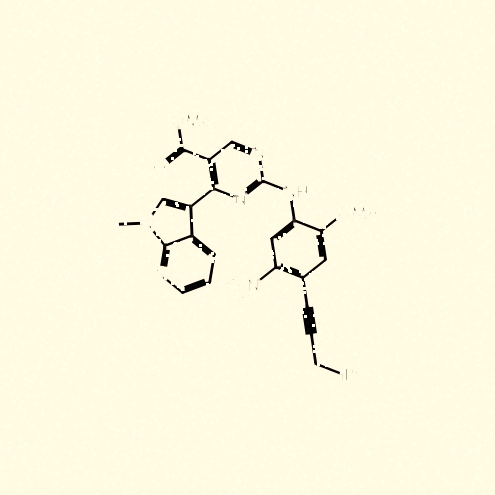 COC(=O)c1cnc(Nc2cc([N+](=O)[O-])c(C#CCC(C)C)cc2OC)nc1-c1cn(C)c2ncccc12